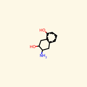 NC1Cc2cccc(O)c2CC1O